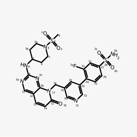 CS(=O)(=O)N1CCC(Nc2ncc3ccc(=O)n(Cc4cncc(-c5ccc(S(N)(=O)=O)cc5F)c4)c3n2)CC1